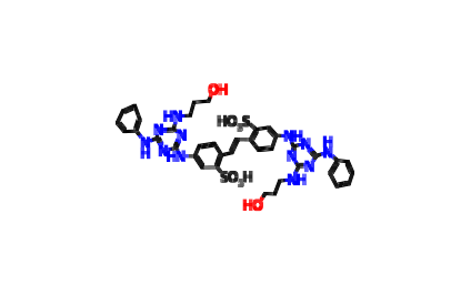 O=S(=O)(O)c1cc(Nc2nc(NCCCO)nc(Nc3ccccc3)n2)ccc1C=Cc1ccc(Nc2nc(NCCCO)nc(Nc3ccccc3)n2)cc1S(=O)(=O)O